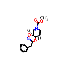 COC(=O)N1C=C[C@H]2OC(Cc3ccccc3)=NO[C@H]2C1